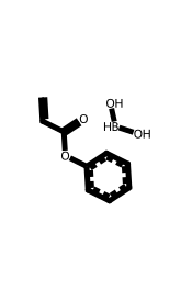 C=CC(=O)Oc1ccccc1.OBO